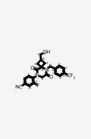 N#Cc1ccc(N2CC(=O)N(Cc3ccc(C(F)(F)F)cc3)C3(CC(CO)C3)C2=O)c(F)c1